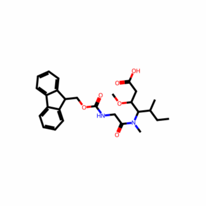 CCC(C)C(C(CC(=O)O)OC)N(C)C(=O)CNC(=O)OCC1c2ccccc2-c2ccccc21